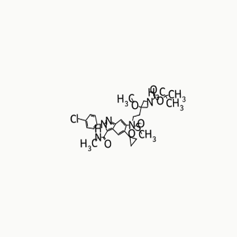 CNC(=O)c1c2cc(C3CC3)c(N(CCC3(OC)CN(C(=O)OC(C)(C)C)C3)S(C)(=O)=O)cc2nn1-c1ccc(Cl)cc1